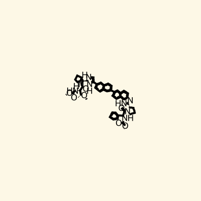 COC(=O)N[C@H](C(=O)N1[C@@H]2CC[C@@H](C2)[C@H]1c1ncc(-c2ccc3cc(-c4ccc5c(ccc6nc([C@@H]7CCCN7C(=O)[C@H](NC(=O)OC)c7ccccc7)[nH]c65)c4)ccc3c2)[nH]1)[C@@H](C)OC